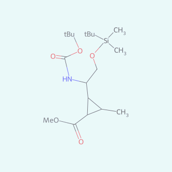 COC(=O)C1C(C)C1C(CO[Si](C)(C)C(C)(C)C)NC(=O)OC(C)(C)C